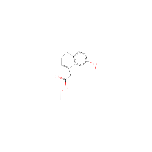 CCOC(=O)CC1=CCCc2ccc(OC)cc21